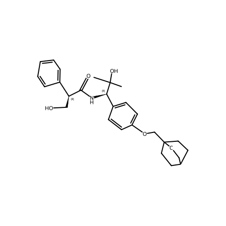 CC(C)(O)[C@H](NC(=O)[C@@H](CO)c1ccccc1)c1ccc(OCC23CCC(CC2)CC3)cc1